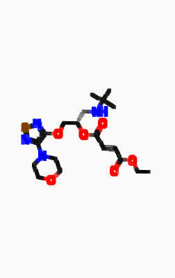 CCOC(=O)/C=C/C(=O)O[C@@H](CNC(C)(C)C)COc1nsnc1N1CCOCC1